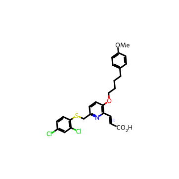 COc1ccc(CCCCOc2ccc(CSc3ccc(Cl)cc3Cl)nc2/C=C/C(=O)O)cc1